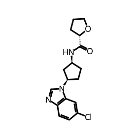 O=C(N[C@H]1CC[C@@H](n2cnc3ccc(Cl)cc32)C1)[C@@H]1CCCO1